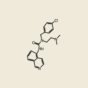 CN(C)CCN(Cc1ccc(Cl)cc1)C(=O)Nc1cccc2cnccc12